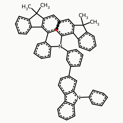 CC1(C)c2ccccc2-c2c(-c3ccccc3N(c3cccc(-c4ccc5c6ccccc6n(-c6ccccc6)c5c4)c3)c3cccc4c3-c3ccccc3C4(C)C)cccc21